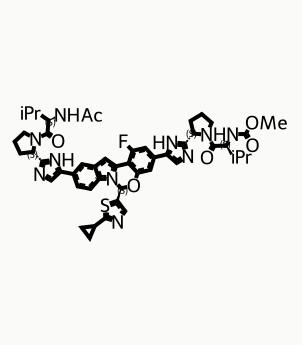 COC(=O)N[C@H](C(=O)N1CCC[C@H]1c1ncc(-c2cc(F)c3c(c2)O[C@@H](c2cnc(C4CC4)s2)n2c-3cc3cc(-c4cnc([C@@H]5CCCN5C(=O)[C@@H](NC(C)=O)C(C)C)[nH]4)ccc32)[nH]1)C(C)C